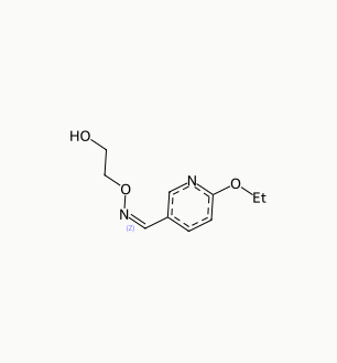 CCOc1ccc(/C=N\OCCO)cn1